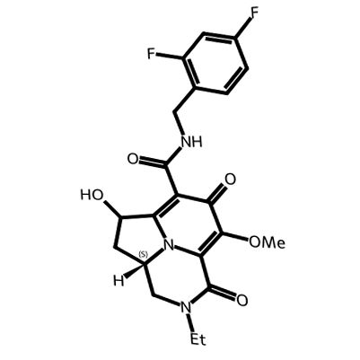 CCN1C[C@@H]2CC(O)c3c(C(=O)NCc4ccc(F)cc4F)c(=O)c(OC)c(n32)C1=O